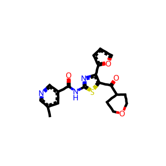 Cc1cncc(C(=O)Nc2nc(-c3ccco3)c(C(=O)C3CCOCC3)s2)c1